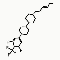 CC/C=C/CC[C@H]1CC[C@H]([C@H]2CC[C@H](c3cc(F)c(C(F)(F)F)c(F)c3)CC2)CC1